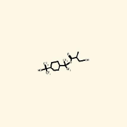 CC(CO)C(=O)OC(C1CCC(C(O)(C(F)(F)F)C(F)(F)F)CC1)(C(F)(F)F)C(F)(F)F